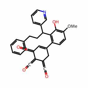 COc1ccc(C2=CC(=C=O)C(=C=O)C(=C=O)C2)c(C(CCc2ccccc2)c2cccnc2)c1O